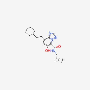 O=C(O)CNC(=O)c1c(O)cc(CCC2CCCCC2)c2ncnn12